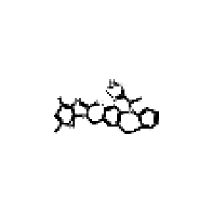 CCc1nc2c(C)cc(C)nc2n1Cc1ccc2c(c1)CCc1ccccc1N2C(C)c1nnn[nH]1